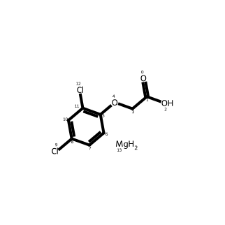 O=C(O)COc1ccc(Cl)cc1Cl.[MgH2]